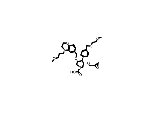 COCCCN1CCOc2ccc(CO[C@H]3CN(C(=O)O)C[C@@H](OC[C@H]4CO4)[C@@H]3c3ccc(COCCOC)cc3)cc21